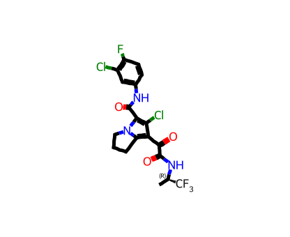 C[C@@H](NC(=O)C(=O)c1c(Cl)c(C(=O)Nc2ccc(F)c(Cl)c2)n2c1CCC2)C(F)(F)F